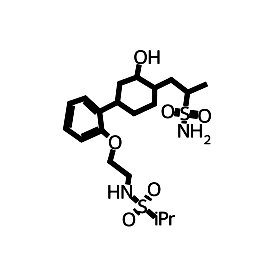 CC(CC1CCC(c2ccccc2OCCNS(=O)(=O)C(C)C)CC1O)S(N)(=O)=O